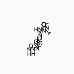 CNC(=O)Nc1nc(C)c(S(=O)(=O)N2CCN(C[C@H](C)Nc3nc(C4CC4)nc4c(C)cccc34)CC2)s1